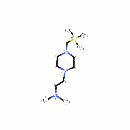 CN(C)CCN1CCN(CS(C)(C)C)CC1